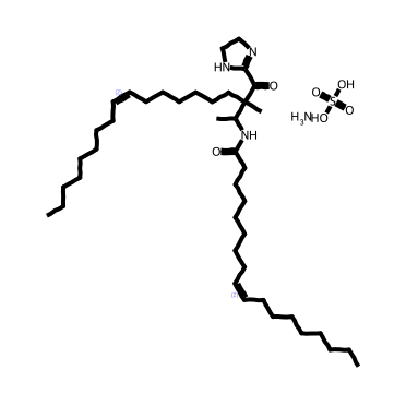 CCCCCCCC/C=C\CCCCCCCC(=O)NC(C)C(C)(CCCCCC/C=C\CCCCCCCC)C(=O)C1=NCCN1.N.O=S(=O)(O)O